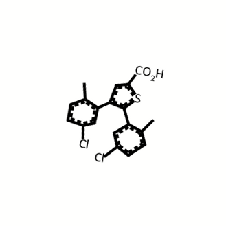 Cc1ccc(Cl)cc1-c1cc(C(=O)O)sc1-c1cc(Cl)ccc1C